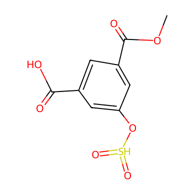 COC(=O)c1cc(O[SH](=O)=O)cc(C(=O)O)c1